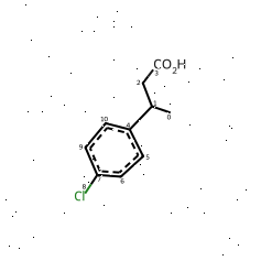 CC(CC(=O)O)c1ccc(Cl)cc1